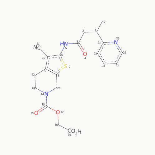 CC(CC(=O)Nc1sc2c(c1C#N)CCN(C(=O)OCC(=O)O)C2)c1ccccn1